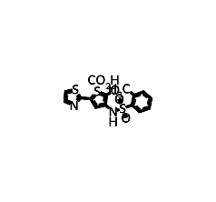 Cc1ccccc1S(=O)(=O)Nc1cc(-c2nccs2)sc1OC(=O)O